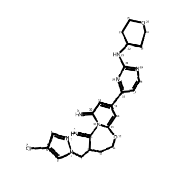 N=C1C(Cn2cc(Cl)cn2)CCOc2cc(-c3ccnc(NC4CCOCC4)n3)cc(=N)n21